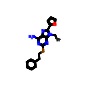 CC(C)Cn1c(-c2ccco2)nc2c(N)nc(SCCc3ccccc3)nc21